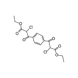 CCOC(=O)C(Cl)C(=O)c1ccc(C(=O)C(Cl)C(=O)OCC)cc1